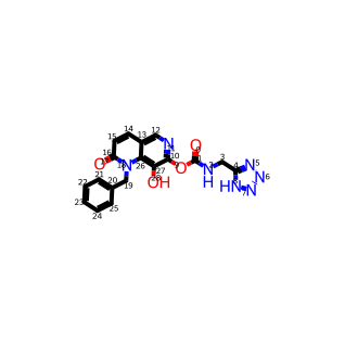 O=C(NCc1nnn[nH]1)Oc1ncc2ccc(=O)n(Cc3ccccc3)c2c1O